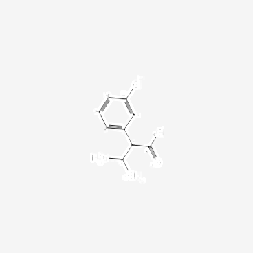 CC(C)C(C(=O)Cl)c1cccc(Cl)c1